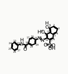 Cc1cccc2cc(S(=O)(=O)O)c(N=Nc3ccc(C(=O)Nc4ccccc4)cc3)c(O)c12